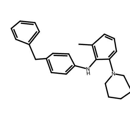 Cc1cccc(N2CCCCC2)c1Nc1ccc(Cc2ccccc2)cc1